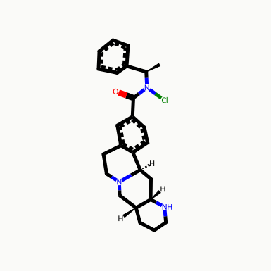 C[C@H](c1ccccc1)N(Cl)C(=O)c1ccc2c(c1)CCN1C[C@H]3CCCN[C@H]3C[C@H]21